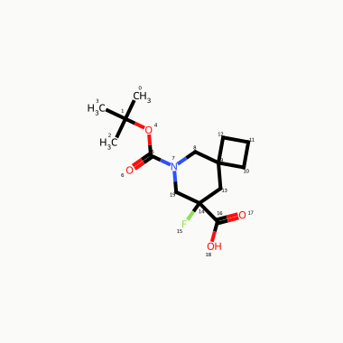 CC(C)(C)OC(=O)N1CC2(CCC2)CC(F)(C(=O)O)C1